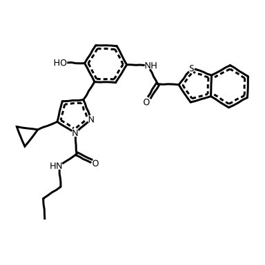 CCCNC(=O)n1nc(-c2cc(NC(=O)c3cc4ccccc4s3)ccc2O)cc1C1CC1